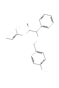 C/C=C(\CCCC)O[C@@H](C)C(OCc1ccc(OC)cc1)c1ccccc1